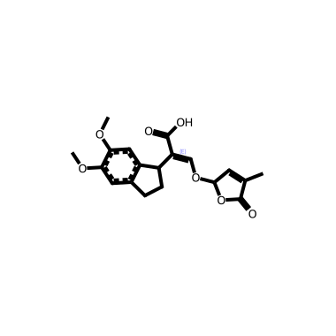 COc1cc2c(cc1OC)C(/C(=C\OC1C=C(C)C(=O)O1)C(=O)O)CC2